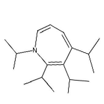 CC(C)C1=CC=CN(C(C)C)C(C(C)C)=C1C(C)C